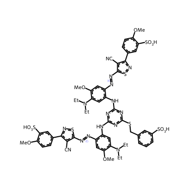 CCN(CC)c1cc(Nc2nc(Nc3cc(N(CC)CC)c(OC)cc3/N=N/c3snc(-c4ccc(OC)c(S(=O)(=O)O)c4)c3C#N)nc(SCc3cccc(S(=O)(=O)O)c3)n2)c(/N=N/c2snc(-c3ccc(OC)c(S(=O)(=O)O)c3)c2C#N)cc1OC